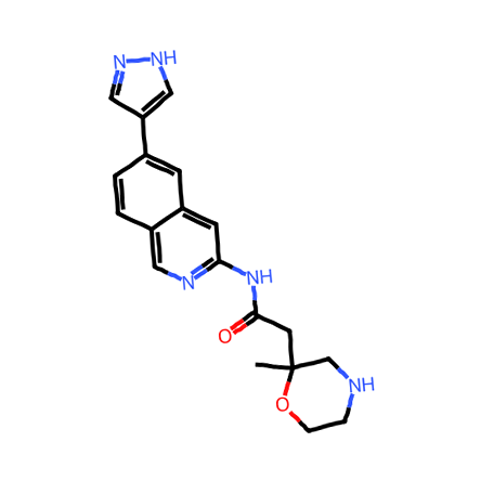 CC1(CC(=O)Nc2cc3cc(-c4cn[nH]c4)ccc3cn2)CNCCO1